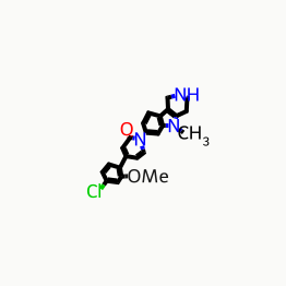 COc1cc(Cl)ccc1-c1ccn(-c2ccc3c4c(n(C)c3c2)CCNC4)c(=O)c1